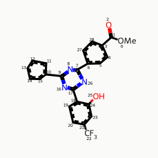 COC(=O)c1ccc(-c2nc(-c3ccccc3)nc(-c3ccc(C(F)(F)F)cc3O)n2)cc1